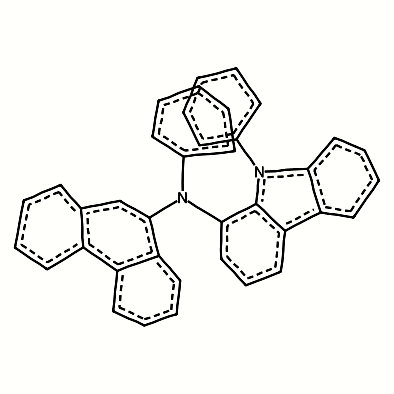 c1ccc(N(c2cc3ccccc3c3ccccc23)c2cccc3c4ccccc4n(-c4ccccc4)c23)cc1